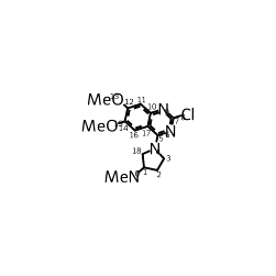 CNC1CCN(c2nc(Cl)nc3cc(OC)c(OC)cc23)C1